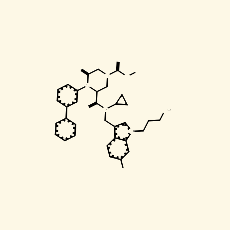 COCCCn1cc(CN(C(=O)C2CN(C(=O)OC(C)(C)C)CC(=O)N2c2cccc(-c3ccccc3)c2)C2CC2)c2ccc(F)cc21